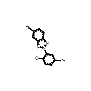 CC(C)c1ccc([O])c(-n2nc3ccc(Cl)cc3n2)c1